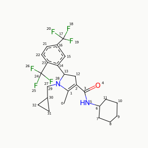 CC1=C(C(=O)NC2CCCCC2)CC(c2cc(C(F)(F)F)ccc2C(F)(F)F)N1CC1CC1